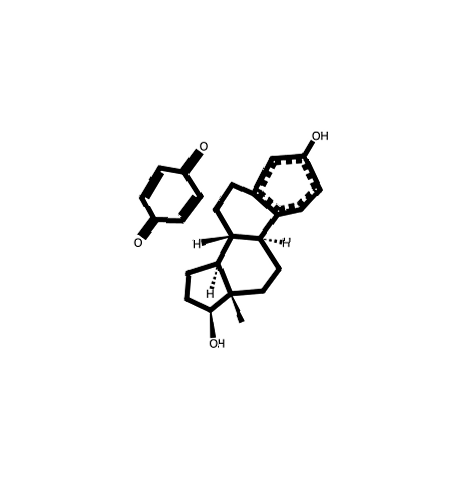 C[C@]12CC[C@@H]3c4ccc(O)cc4CC[C@H]3[C@@H]1CC[C@@H]2O.O=C1C=CC(=O)C=C1